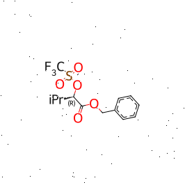 CC(C)[C@@H](OS(=O)(=O)C(F)(F)F)C(=O)OCc1ccccc1